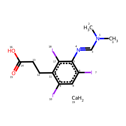 CN(C)/C=N/c1c(I)cc(I)c(CCC(=O)O)c1I.[CaH2]